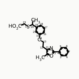 Cc1oc(-c2ccccc2)nc1CCOc1cccc(C(C)SCC(=O)O)c1